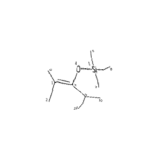 CC(C)=C(O[Si](C)(C)C)C(C)C